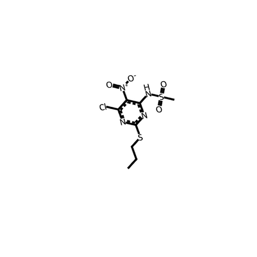 CCCSc1nc(Cl)c([N+](=O)[O-])c(NS(C)(=O)=O)n1